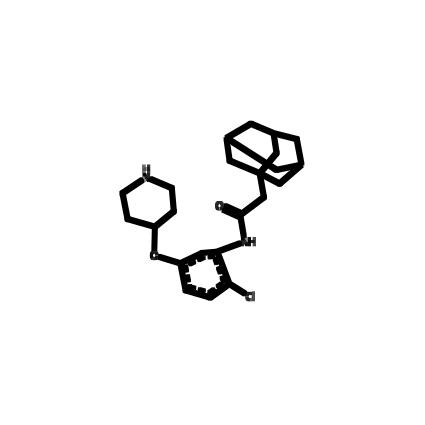 O=C(CC12CC3CC(CC(C3)C1)C2)Nc1cc(OC2CCNCC2)ccc1Cl